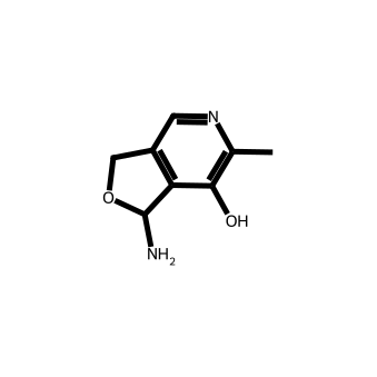 Cc1ncc2c(c1O)C(N)OC2